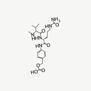 CNC(C(=O)N[C@@H](CCCNC(N)=O)C(=O)Nc1ccc(COC(=O)O)cc1)C(C)C